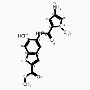 COC(=O)c1cc2cc(NC(=O)c3cc(N)cn3C)ccc2s1.Cl